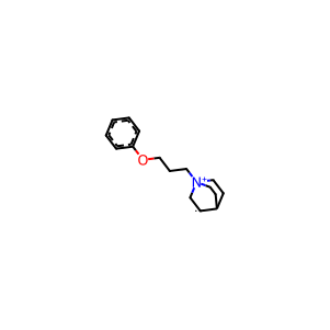 [CH]1C[N+]2(CCCOc3ccccc3)CCC1CC2